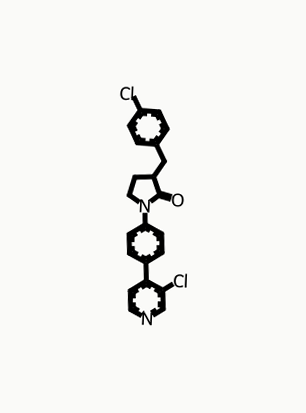 O=C1C(Cc2ccc(Cl)cc2)CCN1c1ccc(-c2ccncc2Cl)cc1